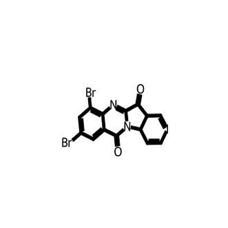 O=C1c2nc3c(Br)cc(Br)cc3c(=O)n2C2C=CI=CC12